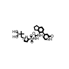 CC(C)(Cn1ccc(S(=O)(=O)NC(=O)Nc2c(-c3cc[nH]c(=O)c3)ccc3c2CCC3)n1)B(O)O